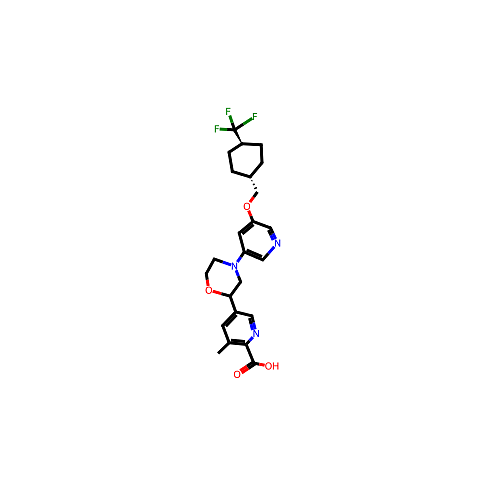 Cc1cc(C2CN(c3cncc(OC[C@H]4CC[C@H](C(F)(F)F)CC4)c3)CCO2)cnc1C(=O)O